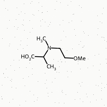 COCCN(C)C(C)C(=O)O